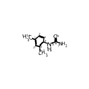 Cc1ccc(NC(N)=O)c(C)c1